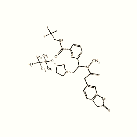 CN(C(=O)Cc1ccc2c(c1)NC(=O)C2)C(CN1CC[C@H](O[Si](C)(C)C(C)(C)C)C1)c1cccc(C(=O)NCC(F)(F)F)c1